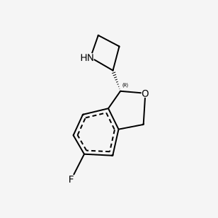 Fc1ccc2c(c1)CO[C@H]2C1CCN1